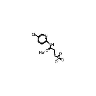 O=C(CSS(=O)(=O)[O-])Nc1ccc(Cl)cn1.[Na+]